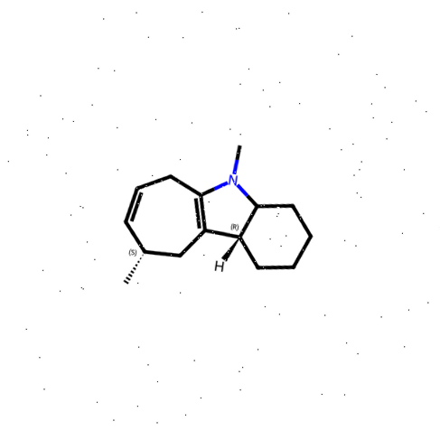 C[C@@H]1C=CCC2=C(C1)[C@H]1CCCCC1N2C